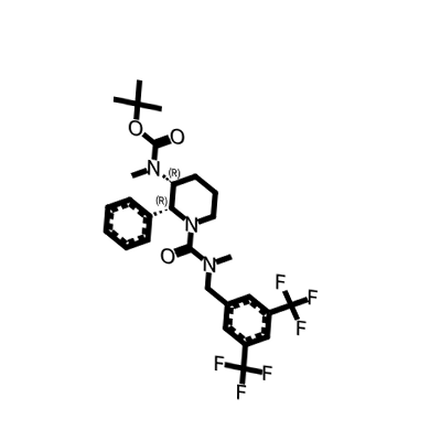 CN(Cc1cc(C(F)(F)F)cc(C(F)(F)F)c1)C(=O)N1CCC[C@@H](N(C)C(=O)OC(C)(C)C)[C@H]1c1ccccc1